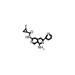 Nc1nc(-c2cccnc2)cc2cc(NC(=O)C3CC3F)ncc12